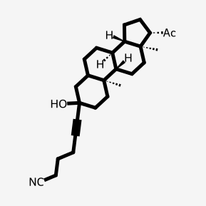 CC(=O)[C@H]1CC[C@H]2[C@@H]3CCC4CC(O)(C#CCCCC#N)CC[C@]4(C)[C@H]3CC[C@]12C